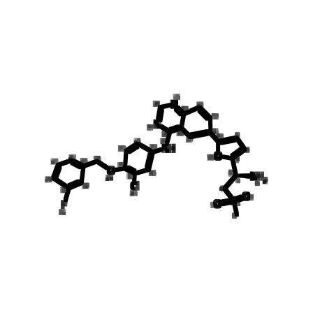 CS(=O)(=O)C[C@H](N)c1ccc(-c2ccc3ncnc(Nc4ccc(OCc5cccc(F)c5)c(Cl)c4)c3c2)o1